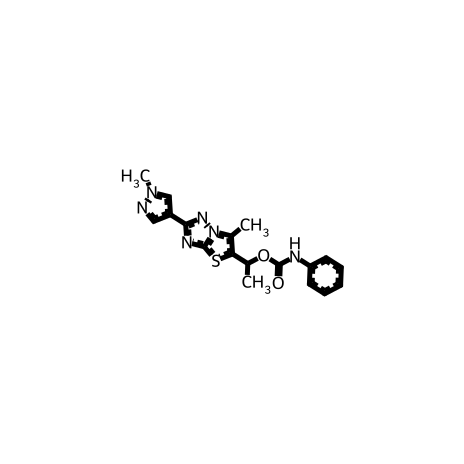 Cc1c(C(C)OC(=O)Nc2ccccc2)sc2nc(-c3cnn(C)c3)nn12